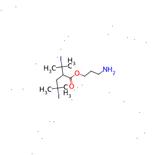 CC(C)(I)CC(C(=O)OCCCN)C(C)(C)I